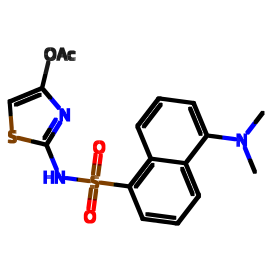 CC(=O)Oc1csc(NS(=O)(=O)c2cccc3c(N(C)C)cccc23)n1